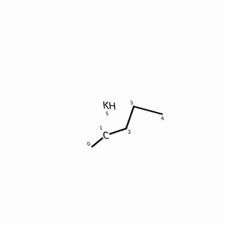 CCCCC.[KH]